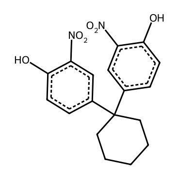 O=[N+]([O-])c1cc(C2(c3ccc(O)c([N+](=O)[O-])c3)CCCCC2)ccc1O